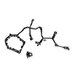 COC(=O)[C@@H](N)CC(F)(F)Cc1ccccc1.Cl